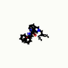 CC(C)CN1CC2CC3C=NC2(C(=O)NCc2ccccc2)C1C3CCc1ccccc1